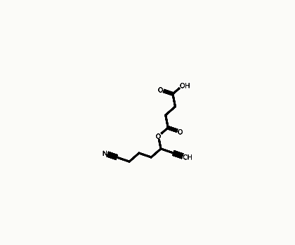 C#CC(CCCC#N)OC(=O)CCC(=O)O